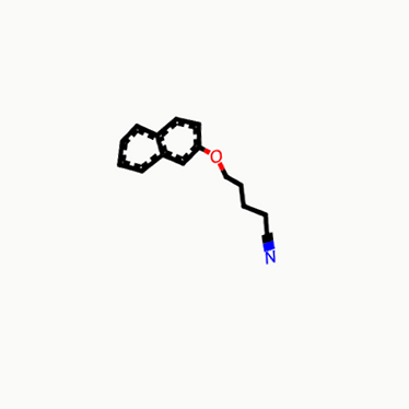 N#CCCCCOc1ccc2ccccc2c1